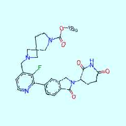 CC(C)(C)OC(=O)N1CCC2(CN(Cc3ccnc(-c4ccc5c(c4)CN(C4CCC(=O)NC4=O)C5=O)c3F)C2)C1